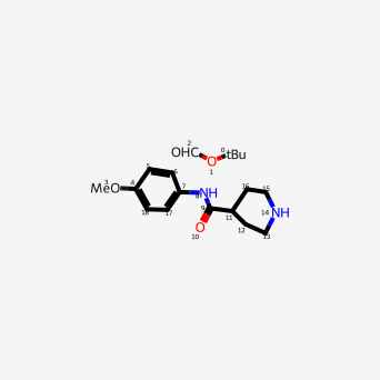 CC(C)(C)OC=O.COc1ccc(NC(=O)C2CCNCC2)cc1